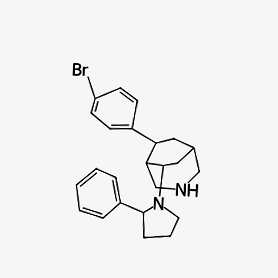 Brc1ccc(C2CC3CNCC2C(N2CCCC2c2ccccc2)C3)cc1